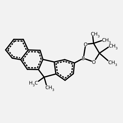 CC1(C)c2ccc(B3OC(C)(C)C(C)(C)O3)cc2-c2cc3ccccc3cc21